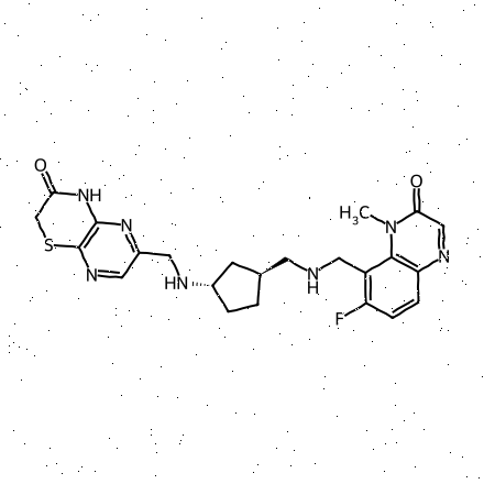 Cn1c(=O)cnc2ccc(F)c(CNC[C@H]3CC[C@H](NCc4cnc5c(n4)NC(=O)CS5)C3)c21